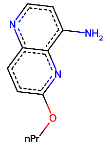 CCCOc1ccc2nccc(N)c2n1